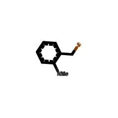 CNc1ccccc1C[S]